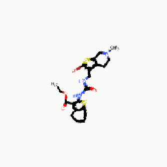 CCOC(=O)c1c(NC(=O)NCc2c(Br)sc3c2CCN(C)C3)sc2c1CCCC2